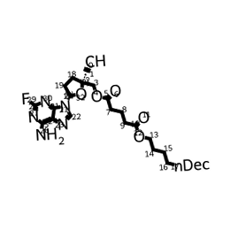 C#C[C@@]1(COC(=O)CCCC(=O)OCCCCCCCCCCCCCC)CC[C@H](n2cnc3c(N)nc(F)nc32)O1